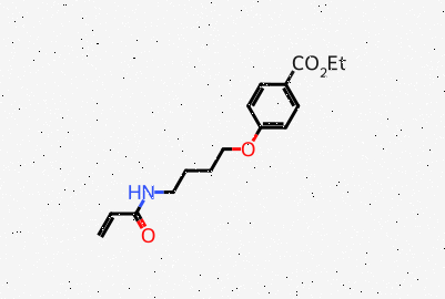 C=CC(=O)NCCCCOc1ccc(C(=O)OCC)cc1